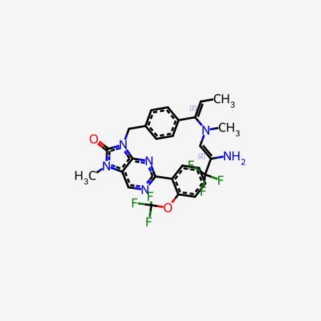 C/C=C(/c1ccc(Cn2c(=O)n(C)c3cnc(-c4ccccc4OC(F)(F)F)nc32)cc1)N(C)/C=C(\N)C(F)(F)F